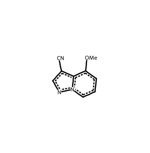 COc1cccn2ncc(C#N)c12